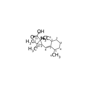 CC1CCCC(C)C1=CC1C(C)(C)C1(Cl)C(=O)O